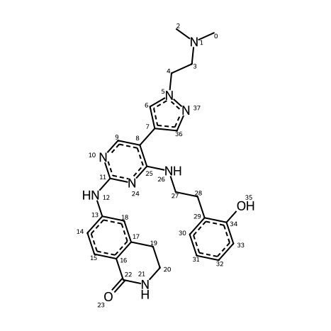 CN(C)CCn1cc(-c2cnc(Nc3ccc4c(c3)CCNC4=O)nc2NCCc2ccccc2O)cn1